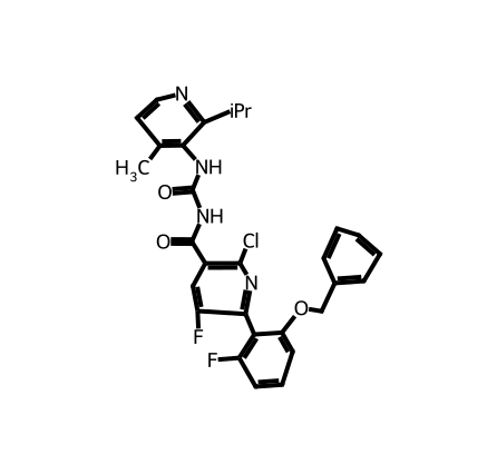 Cc1ccnc(C(C)C)c1NC(=O)NC(=O)c1cc(F)c(-c2c(F)cccc2OCc2ccccc2)nc1Cl